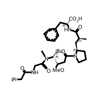 CC[C@@H](C)[C@H](C(CC(=O)N1CCC[C@@H]1C[C@H](C)C(=O)N[C@H](Cc1ccccc1)C(=O)O)OC)N(C)C(=O)CNC(=O)CC(C)C